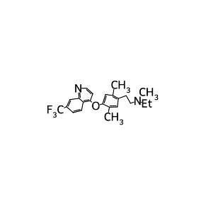 CCN(C)CCc1cc(C)c(Oc2ccnc3cc(C(F)(F)F)ccc23)cc1C